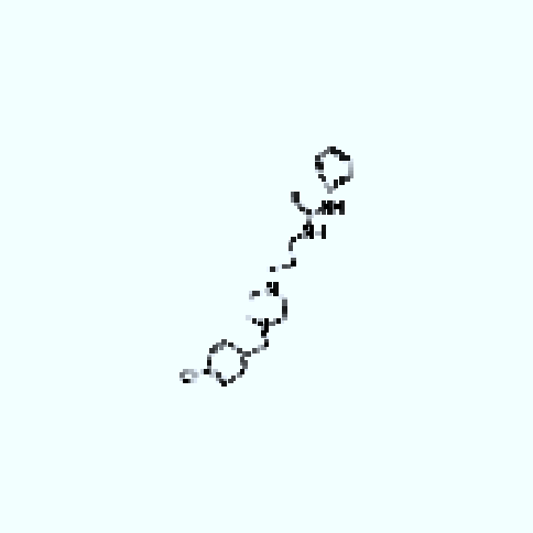 S=C(NCCCN1CCN(Cc2ccc(Cl)cc2)CC1)Nc1ccccc1